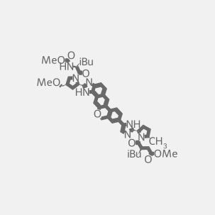 CC[C@H](C)C(CC(=O)OC)C(=O)N1[C@@H](C)CC[C@H]1c1ncc(-c2ccc3c(c2)COc2cc4c(ccc5nc([C@@H]6C[C@H](COC)CN6C(=O)[C@@H](NC(=O)OC)[C@@H](C)CC)[nH]c54)cc2-3)[nH]1